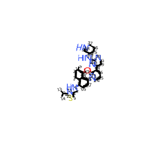 Cc1ccc2c(NCc3csc(C(C)C)n3)cccc2c1Oc1ncccc1-c1ccnc(NC2CCCNC2)n1